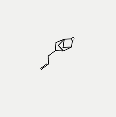 C=CCC1CC23CC(O2)C1C3